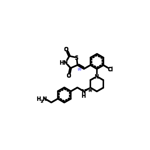 NCc1ccc(CN[C@@H]2CCCN(c3c(Cl)cccc3/C=C3\SC(=O)NC3=O)C2)cc1